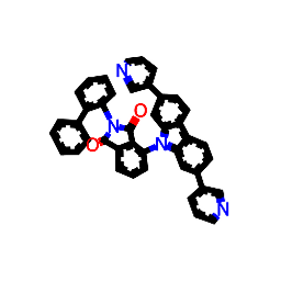 O=C1c2cccc(-n3c4cc(-c5cccnc5)ccc4c4ccc(-c5cccnc5)cc43)c2C(=O)N1c1ccccc1-c1ccccc1